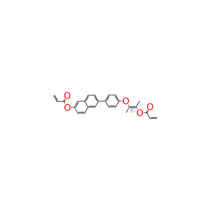 C=CC(=O)O/C(C)=C(\C)Oc1ccc(-c2ccc3cc(OC(=O)C=C)ccc3c2)cc1